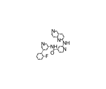 O=C(Nc1cncc(-c2ccccc2F)c1)c1ccnc(Nc2ccc3cnccc3n2)c1